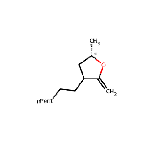 C=C1O[C@@H](C)CC1CCCCCCC